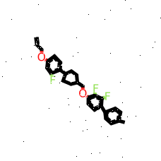 C=CCOc1ccc(C2CCC(COc3ccc(-c4ccc(C)cc4)c(F)c3F)CC2)c(F)c1